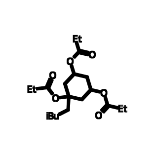 CCC(=O)OC1CC(OC(=O)CC)CC(CC(C)CC)(OC(=O)CC)C1